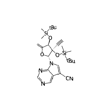 C#C[C@@]1(O[Si](C)(C)C(C)(C)C)[C@H](O[Si](C)(C)C(C)(C)C)C(=C)O[C@H]1n1cc(C#N)c2cncnc21